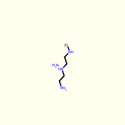 CCNCCNCCN.N